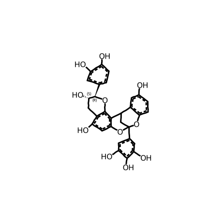 Oc1ccc2c(c1)C1CC(c3cc(O)c(O)c(O)c3)(O2)Oc2cc(O)c3c(c21)O[C@H](c1ccc(O)c(O)c1)[C@@H](O)C3